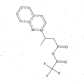 CC(CC(=O)OC(=O)C(F)(F)F)[n+]1ccc2ccccc2n1